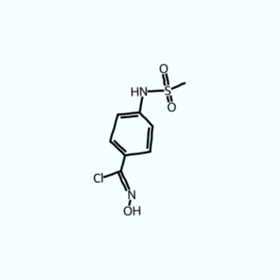 CS(=O)(=O)Nc1ccc(/C(Cl)=N/O)cc1